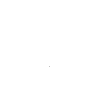 CCCCCc1ccncc1.I